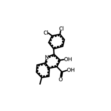 Cc1ccc2nc(-c3ccc(Cl)c(Cl)c3)c(O)c(C(=O)O)c2c1